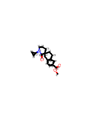 COC(=O)c1ccc2c(c1)CCC1(CCCN(C3CC3)C1=O)C2